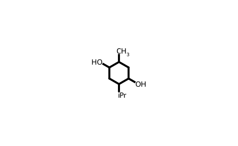 CC(C)C1CC(O)C(C)CC1O